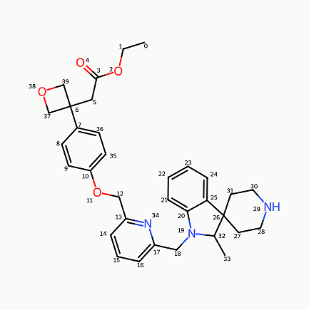 CCOC(=O)CC1(c2ccc(OCc3cccc(CN4c5ccccc5C5(CCNCC5)C4C)n3)cc2)COC1